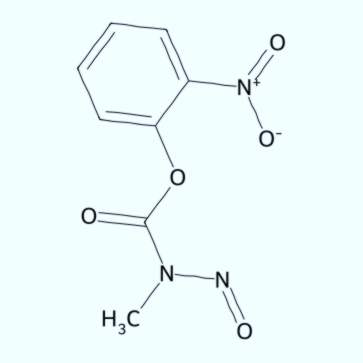 CN(N=O)C(=O)Oc1ccccc1[N+](=O)[O-]